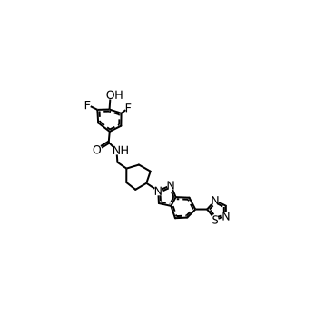 O=C(NCC1CCC(n2cc3ccc(-c4ncns4)cc3n2)CC1)c1cc(F)c(O)c(F)c1